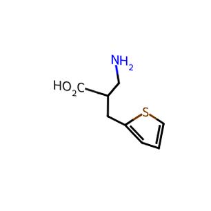 NCC(Cc1cccs1)C(=O)O